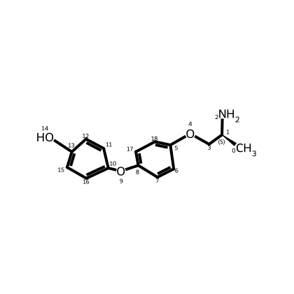 C[C@H](N)COc1ccc(Oc2ccc(O)cc2)cc1